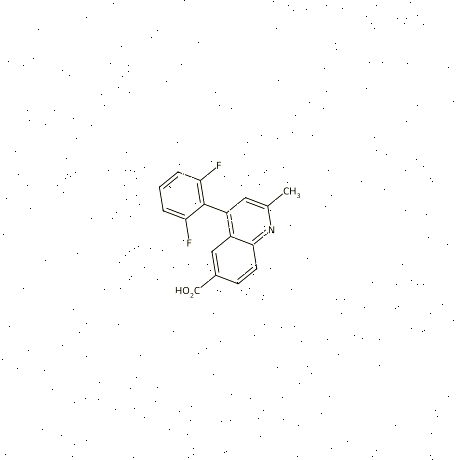 Cc1cc(-c2c(F)cccc2F)c2cc(C(=O)O)ccc2n1